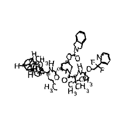 CCC[C@H](NC(=O)[C@@H]1C[C@@H](OC(=O)N2Cc3ccccc3C2)CN1C(=O)[C@@H](NC(=O)OCC(F)(F)c1ccccn1)C(C)(C)C)B1O[C@@H]2C[C@@H]3C[C@@H](C3(C)C)[C@]2(C)O1